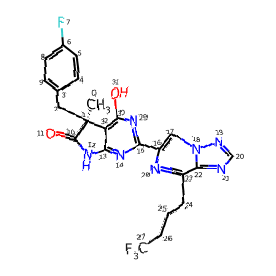 C[C@@]1(Cc2ccc(F)cc2)C(=O)Nc2nc(-c3cn4ncnc4c(CCCC(F)(F)F)n3)nc(O)c21